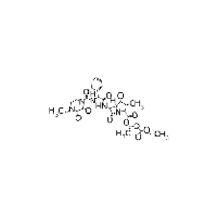 CCOC(=O)OC(C)OC(=O)C1C(C)C(=O)[C@@H]2C(NC(=O)C(NC(=O)N3CCN(CC)C(=O)C3=O)c3ccccc3)C(=O)N12